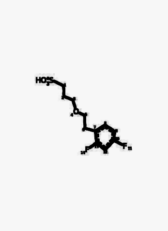 O=S(=O)(O)CCCOCCc1ccc(F)cc1F